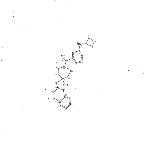 O=C(c1cccc(NC2CCC2)c1)N1CCC(O)(CN2CCc3ccccc3C2)CC1